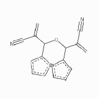 C=C(C#N)C(OC(C(=C)C#N)c1ccco1)c1ccco1